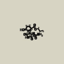 CCCOC(=O)c1ccc(O)cc1.NC(=O)NC1NC(=O)NC1=O